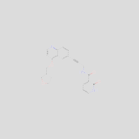 O=C(NCC#Cc1ccc2nccc(OCC3CCOC3)c2c1)c1ccc[nH]c1=O